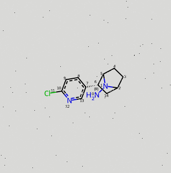 NN1C2CCC1[C@@H](c1ccc(Cl)nc1)C2